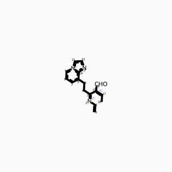 C=C/N=C(CCc1cccn2ccnc12)\C(C=O)=C/C